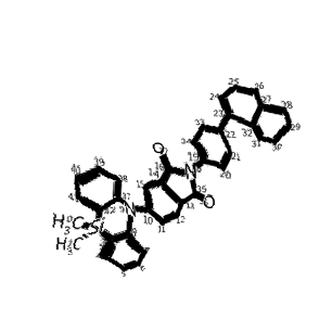 C[Si]1(C)c2ccccc2N(c2ccc3c(c2)C(=O)N(c2ccc(-c4cccc5ccccc45)cc2)C3=O)c2ccccc21